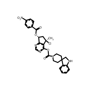 C[C@@]1(Cl)C[C@@H](OC(=O)c2ccc([N+](=O)[O-])cc2)c2ncnc(OC(=O)N3CCC4(CC3)CNc3ccccc34)c21